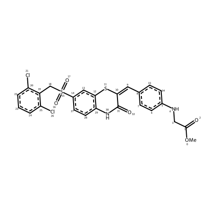 COC(=O)CNc1ccc(/C=C2/Sc3cc(S(=O)(=O)Cc4c(Cl)cccc4Cl)ccc3NC2=O)cc1